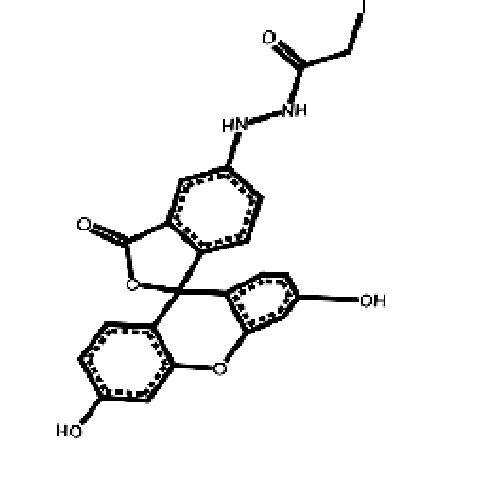 O=C(CI)NNc1ccc2c(c1)C(=O)OC21c2ccc(O)cc2Oc2cc(O)ccc21